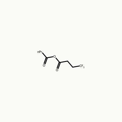 CCCC(=O)OC(=O)CCC(F)(F)F